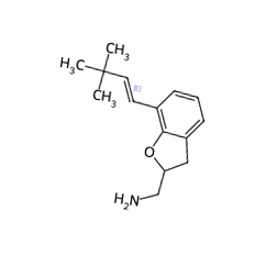 CC(C)(C)/C=C/c1cccc2c1OC(CN)C2